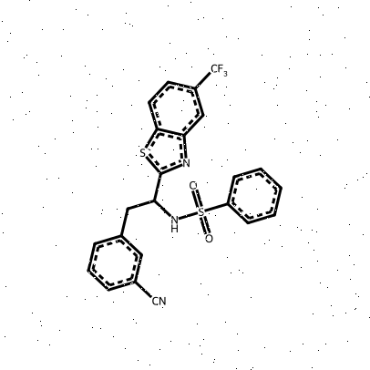 N#Cc1cccc(CC(NS(=O)(=O)c2ccccc2)c2nc3cc(C(F)(F)F)ccc3s2)c1